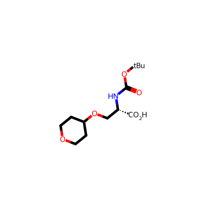 CC(C)(C)OC(=O)N[C@@H](COC1CCOCC1)C(=O)O